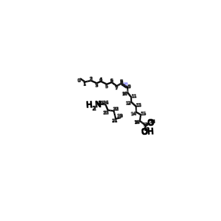 CCCCCCCC/C=C\CCCCCCCC(=O)O.CCCCCN